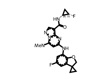 CNc1cc(Nc2cc(F)cc3c2OCC32CC2)nc2c(C(=O)N[C@@H]3C[C@@H]3F)cnn12